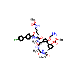 COC(=O)[C@@H]1Cc2ccc(OC(=O)OC(C)(C)C)c(c2)-c2cc(ccc2OCCN)[C@H](N(C)C(=O)[C@H](CCCCNC(=O)OC(C)(C)C)NC(=O)c2ccc(-c3ccc(Cl)cc3)cc2)C(=O)N[C@@H](C)C(=O)N1